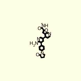 CNC(=O)c1cc2c(-c3cnc(N)c(-c4ccc(N5CCCC5=O)cc4)c3)ccnc2o1